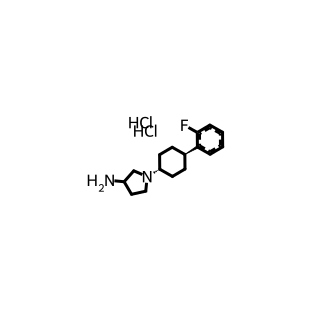 Cl.Cl.NC1CCN([C@H]2CC[C@H](c3ccccc3F)CC2)C1